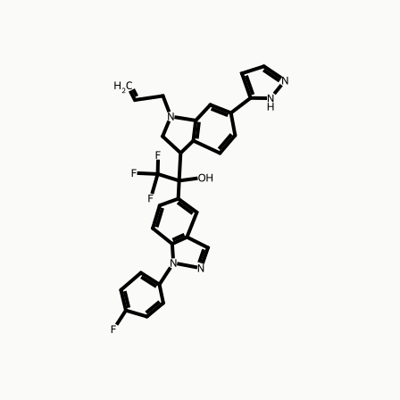 C=CCN1CC(C(O)(c2ccc3c(cnn3-c3ccc(F)cc3)c2)C(F)(F)F)c2ccc(-c3ccn[nH]3)cc21